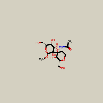 CO[C@H]1O[C@H](CO)[C@H](O)[C@H](O)[C@]1(O)[C@@]1(O)[C@H](O)[C@@H](CO)OC[C@H]1NC(C)=O